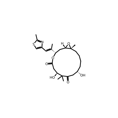 C/C(=C\c1csc(C)n1)[C@@H]1C[C@@H]2O[C@]2(C)CCCC[C@H](O)CC(=O)C(C)(C)[C@@H](O)CC(=O)O1